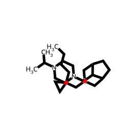 CCCCC1(CN2CC3CCC(C2)C3CN2CCN(C(C)C)CC2)CC1